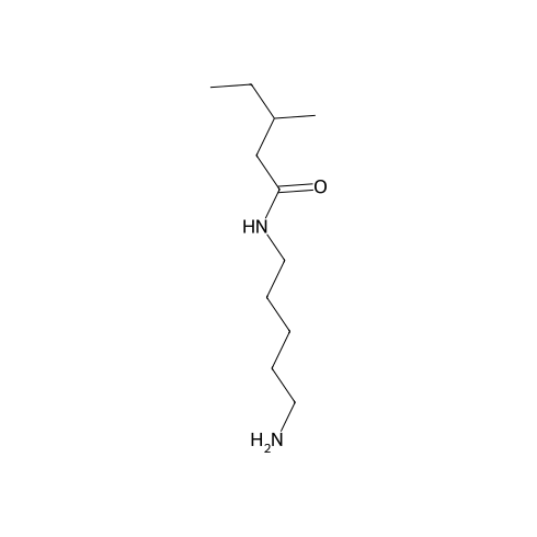 CCC(C)CC(=O)NCCCCCN